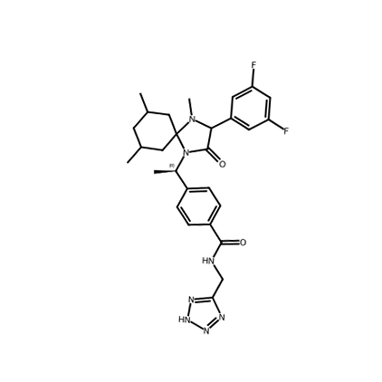 CC1CC(C)CC2(C1)N(C)C(c1cc(F)cc(F)c1)C(=O)N2[C@H](C)c1ccc(C(=O)NCc2nn[nH]n2)cc1